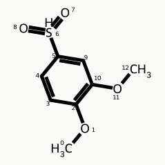 COc1ccc([SH](=O)=O)cc1OC